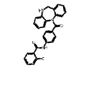 O=C(Nc1ccc(C(=O)N2c3ccccc3CNc3ccccc32)cc1)c1ccccc1Cl